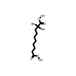 CC(C)(C)C(CCCCCCCC(=O)OO)(C(=O)OO)C(C)(C)C